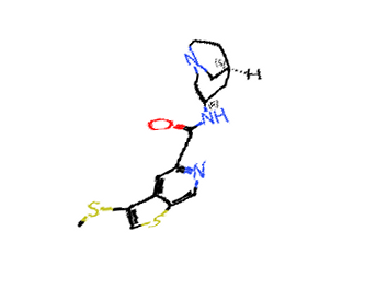 CSc1csc2cnc(C(=O)N[C@@H]3C[C@@H]4CCN(C4)C3)cc12